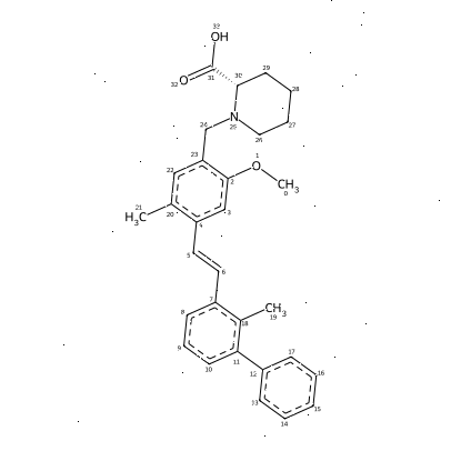 COc1cc(/C=C/c2cccc(-c3ccccc3)c2C)c(C)cc1CN1CCCC[C@H]1C(=O)O